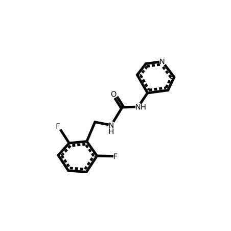 O=C(NCc1c(F)cccc1F)Nc1ccncc1